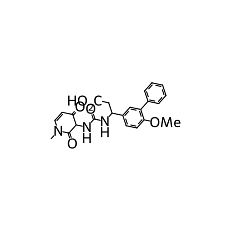 COc1ccc(C(CC(=O)O)NC(=O)NC2C(=O)C=CN(C)C2=O)cc1-c1ccccc1